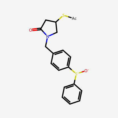 CC(=O)SC1CC(=O)N(Cc2ccc([S+]([O-])c3ccccc3)cc2)C1